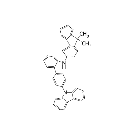 CC1(C)c2ccccc2-c2cc(Nc3ccccc3-c3ccc(-n4c5ccccc5c5ccccc54)cc3)ccc21